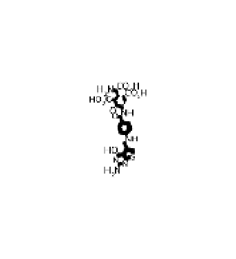 Nc1nc(O)c2c(CNc3ccc(C(=O)N[C@@H](CCC(=O)O)C(=O)C(C[C@H](N)C(=O)O)C(=O)O)cc3)csc2n1